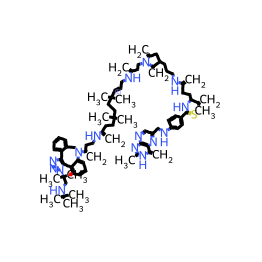 C=C(CCN1C(=C)CC(CCCNC(=C)CCC(NC(=S)c2ccc(NCc3cnc4c(n3)C(=C)NC(C)=N4)cc2)C(=C)C)C1=C)NC/C=C/C(C)(C)CCC(C)(C)CCC(=C)NCCC(=C)N1Cc2ccccc2-c2nnn(C(C)(C)CNC(C)(C)C)c2-c2ccccc21